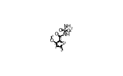 COc1cc(C)sc1C(=O)NS(N)(=O)=O